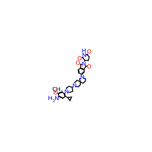 COc1cc(N2CCC(N3CCC4(CCCN(c5ccc6c(c5)C(=O)N(C5CCC(=O)NC5=O)C6=O)C4)CC3)CC2)c(C2CC2)cc1N